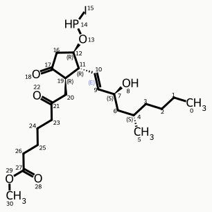 CCCC[C@H](C)C[C@H](O)/C=C/[C@H]1[C@H](OPI)CC(=O)[C@@H]1CC(=O)CCCCC(=O)OC